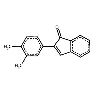 Cc1ccc(C2=Cc3ccccc3C2=O)cc1C